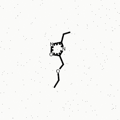 CCOCc1nc(CC)no1